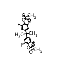 CC(C)(c1cc(F)c(OS(C)(=O)=O)c(F)c1)c1cc(F)c(OS(C)(=O)=O)c(F)c1